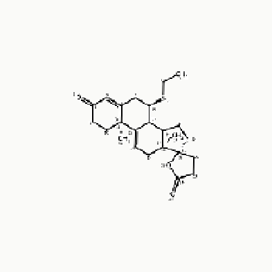 CCS[C@@H]1CC2=CC(=O)CC[C@]2(C)C2=CC[C@@]3(C)C(CC[C@@]34CCC(=O)O4)C21